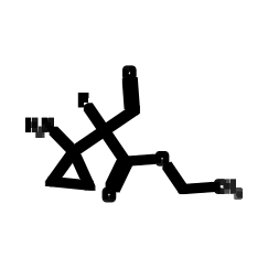 CCOC(=O)C(F)(C=O)C1(N)CC1